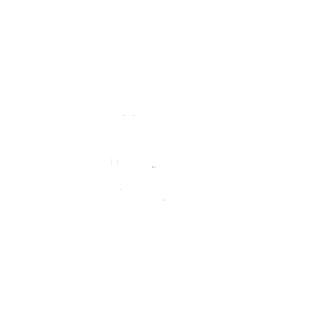 O=C([O-])CC(O)(OO)C(=O)[O-].[Zn+2]